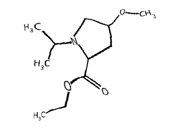 CCOC(=O)C1CC(OC)CN1C(C)C